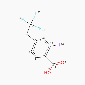 O=C(O)c1ccc(CC(F)(F)F)cc1I